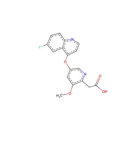 COc1cc(Oc2ccnc3ccc(F)cc23)cnc1CC(=O)O